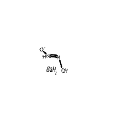 [BaH2].[O-][NH+]=NO